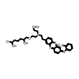 CCC(O)CCCC(O)COCCN(CCOC)CCc1ccc2sc3c/c(=N\c4ccccc4S(=O)(=O)O)ccc-3nc2c1